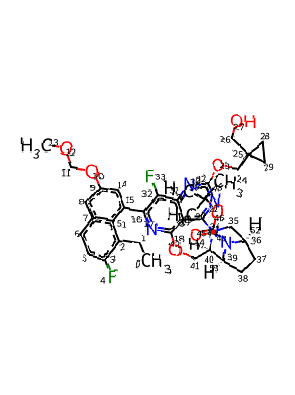 CCc1c(F)ccc2cc(OCOC)cc(-c3nc4c5c(nc(OCC6(CO)CC6)nc5c3F)N3C[C@H]5CC[C@@H]([C@H]3CO4)N5C(=O)OC(C)(C)C)c12